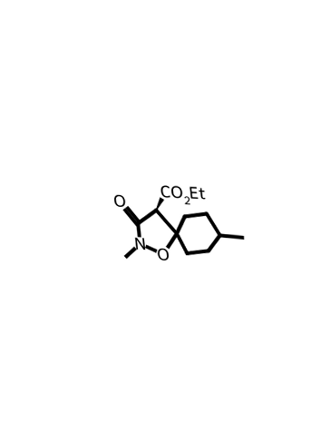 CCOC(=O)[C@@H]1C(=O)N(C)OC12CCC(C)CC2